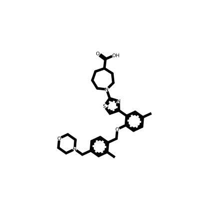 Cc1ccc(OCc2ccc(CN3CCOCC3)cc2C)c(-c2csc(N3CCCC(C(=O)O)CC3)n2)c1